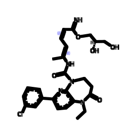 CCN1C(=O)CCN(C(=O)N/C(C)=C/C=C\C(=N)OC[C@@H](O)CO)c2nc(-c3cccc(Cl)c3)ccc21